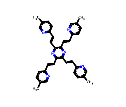 Cc1ccc(C=Cc2nc(C=Cc3ccc(C)cn3)c(C=Cc3ccc(C)cn3)nc2C=Cc2ccc(C)cn2)nc1